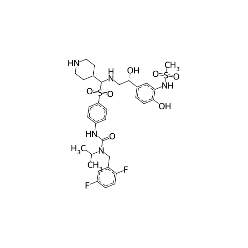 CC(C)N(Cc1cc(F)ccc1F)C(=O)Nc1ccc(S(=O)(=O)C(NC[C@H](O)c2ccc(O)c(NS(C)(=O)=O)c2)C2CCNCC2)cc1